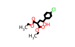 CCOC(=O)C(CC(O)c1ccc(Cl)cc1)C(=O)OCC